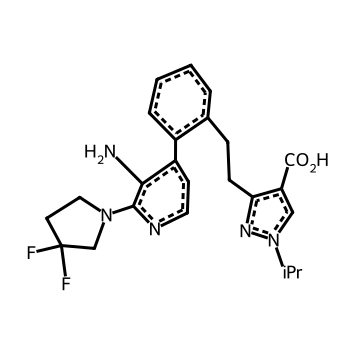 CC(C)n1cc(C(=O)O)c(CCc2ccccc2-c2ccnc(N3CCC(F)(F)C3)c2N)n1